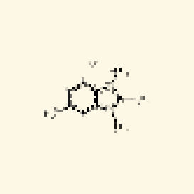 Cc1ccc2c(c1)n(C)c(C)[n+]2C.[OH-]